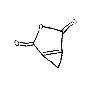 O=C1OC(=O)C2=C1C2